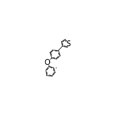 [c]1ccccc1Oc1ccc(-c2ccsc2)cc1